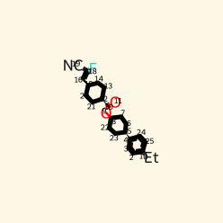 CCc1ccc([C@H]2CC[C@H](OC(=O)[C@H]3CC[C@H](C=C(F)C#N)CC3)CC2)cc1